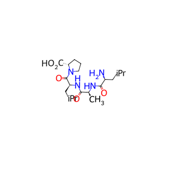 CC(C)C[C@H](NC(=O)[C@H](C)NC(=O)[C@@H](N)CC(C)C)C(=O)N1CCC[C@H]1C(=O)O